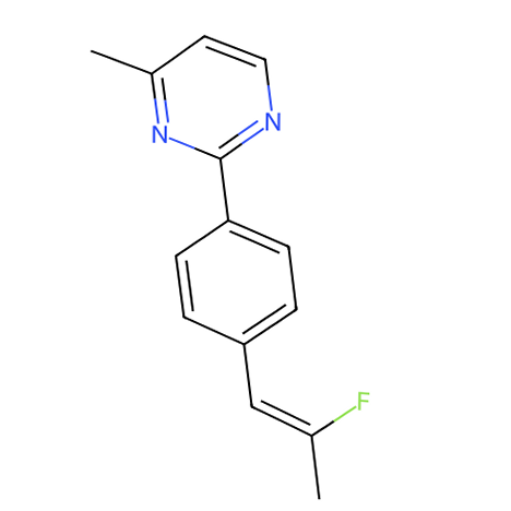 C/C(F)=C/c1ccc(-c2nccc(C)n2)cc1